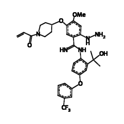 C=CC(=O)N1CCC(Oc2cc(C(=N)Nc3ccc(Oc4cccc(C(F)(F)F)c4)cc3C(C)(C)O)c(NN)cc2OC)CC1